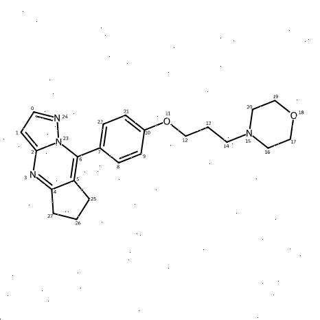 c1cc2nc3c(c(-c4ccc(OCCCN5CCOCC5)cc4)n2n1)CCC3